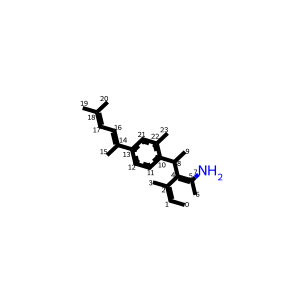 C/C=C(C)\C(=C(/C)N)C(C)c1ccc(/C(C)=C/C=C(C)C)cc1C